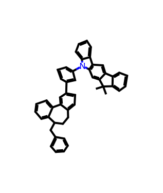 CC1(C)c2ccccc2-c2cc3c4ccccc4n(-c4cccc(-c5ccc6c(c5)-c5ccccc5C(Cc5ccccc5)CC6)c4)c3cc21